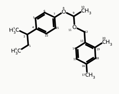 CCC(C)c1ccc(OC(C)OCc2ccc(C)cc2C)cc1